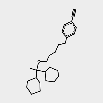 C#Cc1ccc(CCCCCOC(C)(C2CCCCC2)C2CCCCC2)cc1